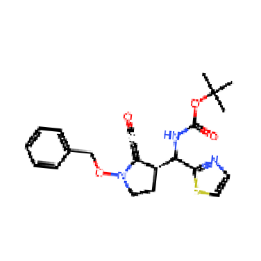 CC(C)(C)OC(=O)NC(c1nccs1)[C@H]1CCN(OCc2ccccc2)C1=C=O